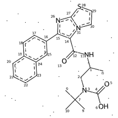 CC(CN(C(=O)O)C(C)(C)C)NC(=O)c1c(-c2ccc3ccccc3c2)nc2sccn12